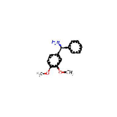 COc1ccc(C(N)c2ccccc2)cc1OC